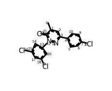 Cc1cc(-c2ccc(Cl)cc2)nn(-c2cc(Cl)cc(Cl)c2)c1=O